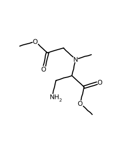 COC(=O)CN(C)C(CN)C(=O)OC